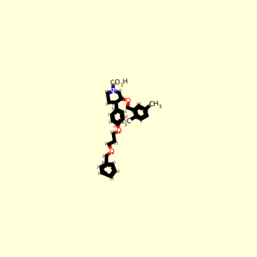 Cc1ccc(C)c(COC2CN(C(=O)O)CCC2c2ccc(OCCCOCc3ccccc3)cc2)c1